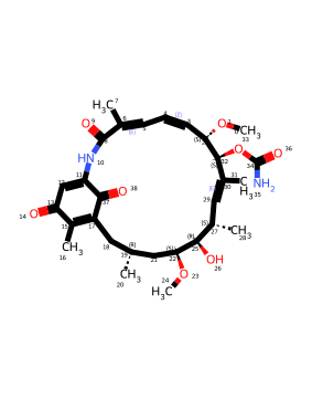 CO[C@H]1/C=C\C=C(/C)C(=O)NC2=CC(=O)C(C)=C(C[C@@H](C)C[C@H](OC)[C@H](O)[C@@H](C)/C=C(\C)[C@@H]1OC(N)=O)C2=O